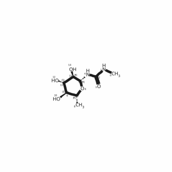 CNC(=O)N[C@@H]1O[C@H](C)[C@@H](O)[C@H](O)[C@H]1O